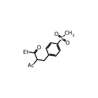 CCC(=O)C(Cc1ccc(S(C)(=O)=O)cc1)C(C)=O